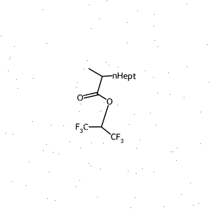 CCCCCCCC(C)C(=O)OC(C(F)(F)F)C(F)(F)F